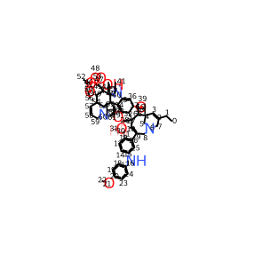 CCC1=C[C@H]2CN(C1)CC1=C(Bc3ccc(Nc4ccc(OC)cc4)cc31)[C@@](C(=O)OC)(C1C=C3C(=CC1OC)N(C)[C@H]1[C@@](O)(C(=O)OC)[C@H](OC(C)=O)[C@]4(CC)C=CCN5CC[C@]31[C@@H]54)C2